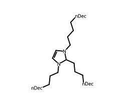 CCCCCCCCCCCCCCN1C=CN(CCCCCCCCCCCCC)C1CCCCCCCCCCCCC